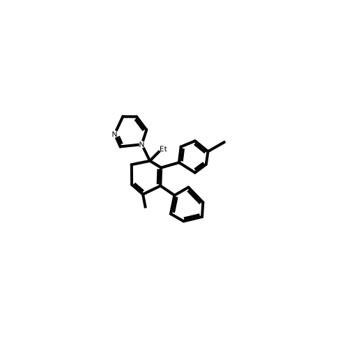 CCC1(N2C=CCN=C2)CC=C(C)C(c2ccccc2)=C1c1ccc(C)cc1